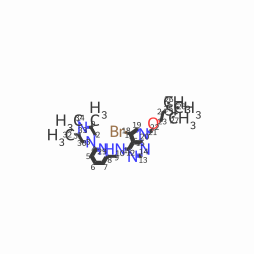 C[C@@H]1CN(c2cccc(CNc3ncnc4c3c(Br)cn4COCC[Si](C)(C)C)n2)C[C@H](C)N1C